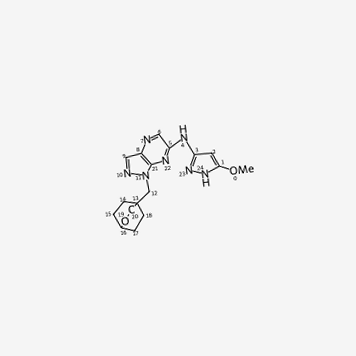 COc1cc(Nc2cnc3cnn(CC45CCC(CC4)OC5)c3n2)n[nH]1